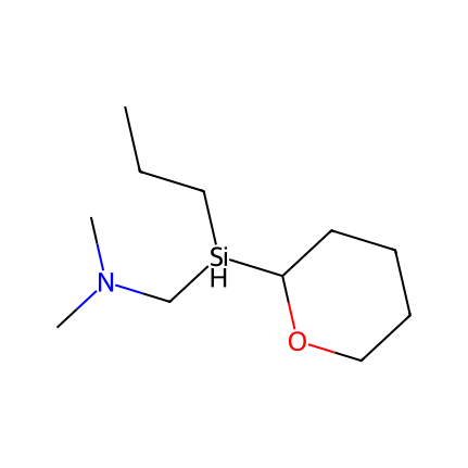 CCC[SiH](CN(C)C)C1CCCCO1